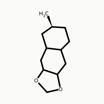 C[C@H]1CCC2CC3OCOC3CC2C1